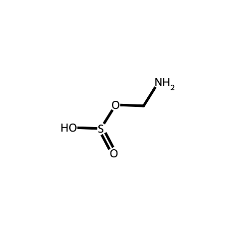 NCOS(=O)O